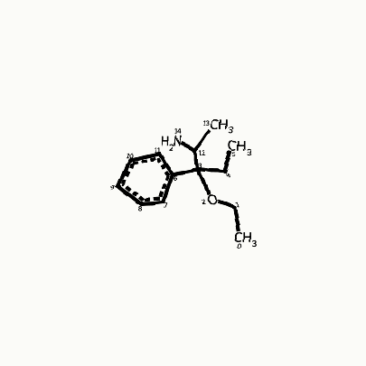 CCOC(CC)(c1ccccc1)C(C)N